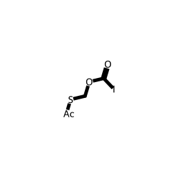 CC(=O)SCOC(=O)I